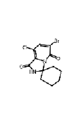 O=C1NC2(CCCCC2)n2c1c(Cl)cc(Br)c2=O